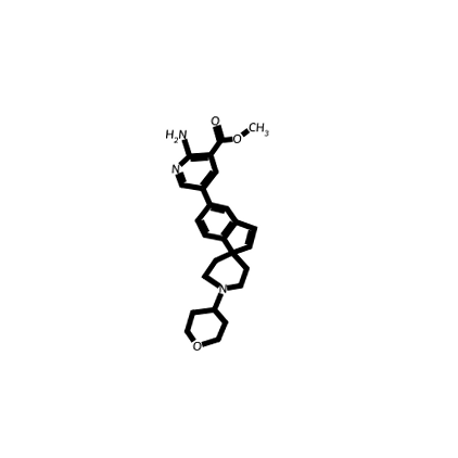 COC(=O)c1cc(-c2ccc3c(c2)C=CC32CCN(C3CCOCC3)CC2)cnc1N